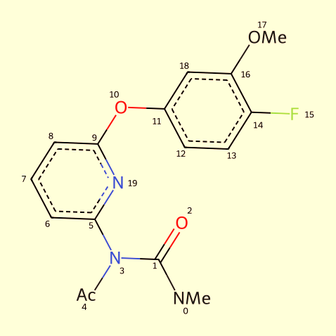 CNC(=O)N(C(C)=O)c1cccc(Oc2ccc(F)c(OC)c2)n1